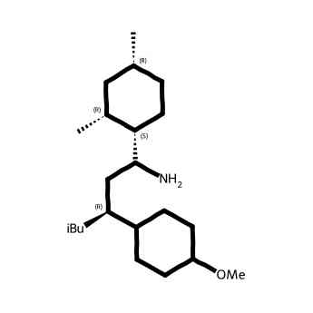 CCC(C)[C@@H](CC(N)[C@H]1CC[C@@H](C)C[C@H]1C)C1CCC(OC)CC1